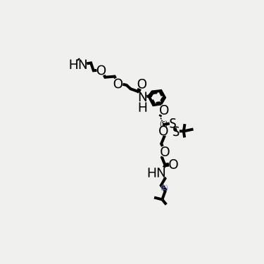 CNCCOCCOCCC(=O)Nc1cccc(OC[C@@H](OCCOCC(=O)NC/C=C/C(C)C)SSC(C)(C)C)c1